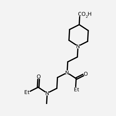 CCC(=O)N(C)CCN(CCN1CCC(C(=O)O)CC1)C(=O)CC